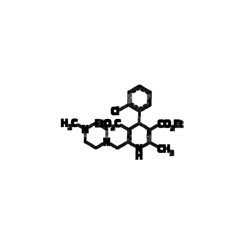 CCOC(=O)C1=C(C)NC(CN2CCN(C)CC2)=C(C(=O)OCC)C1c1ccccc1Cl